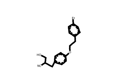 CCc1ccc(CCOc2ccc(CC(C#N)CO)cc2)cc1